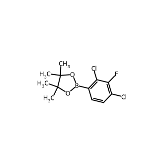 CC1(C)OB(c2ccc(Cl)c(F)c2Cl)OC1(C)C